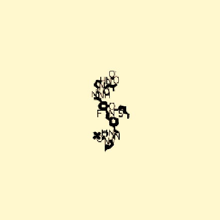 CCc1ccc(C2Oc3cc(-c4cnc([C@@H]5CCCN5C(=O)[C@@H](NC(=O)OC)C(C)C)[nH]4)cc(F)c3-c3cc4cc(-c5cnc([C@@H]6CC7CC7N6C(=O)OC(C)(C)C)[nH]5)ccc4n32)s1